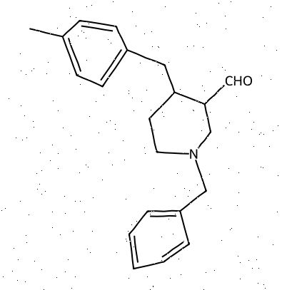 Cc1ccc(CC2CCN(Cc3ccccc3)CC2C=O)cc1